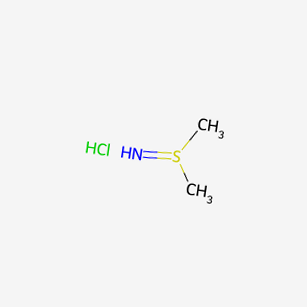 CS(C)=N.Cl